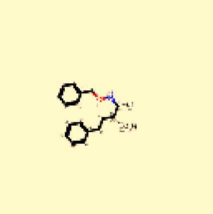 CC[C@@H](NOCc1ccccc1)[C@@H](CCc1ccccc1)C(=O)O